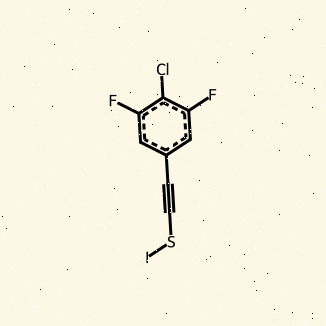 Fc1cc(C#CSI)cc(F)c1Cl